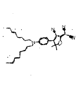 CCCCCCCCN(CCCCCCCC)c1ccc(C2=C(C#N)C(=C(C#N)C#N)OC2(C)C)cc1